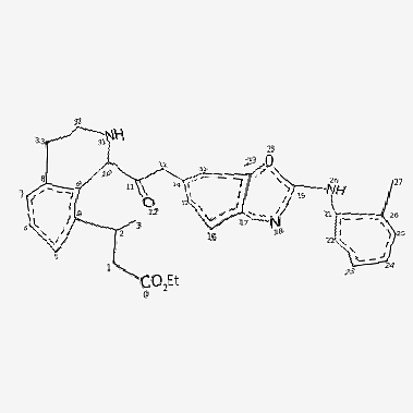 CCOC(=O)CC(C)c1cccc2c1C(C(=O)Cc1ccc3nc(Nc4ccccc4C)oc3c1)NCC2